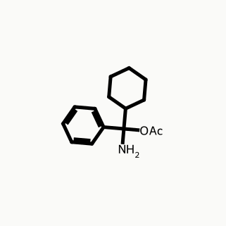 CC(=O)OC(N)(c1ccccc1)C1CCCCC1